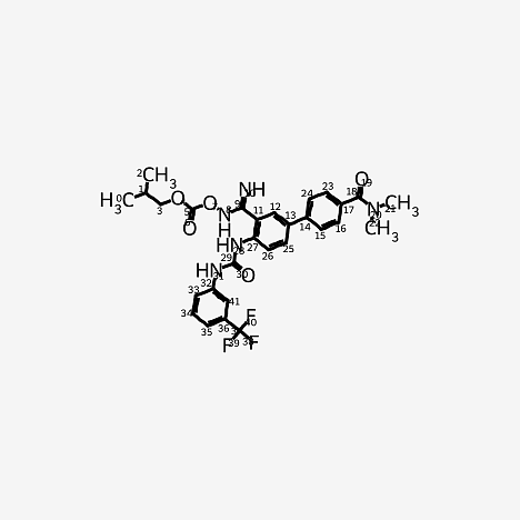 CC(C)COC(=O)ONC(=N)c1cc(-c2ccc(C(=O)N(C)C)cc2)ccc1NC(=O)Nc1cccc(C(F)(F)F)c1